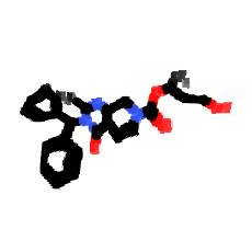 Cc1nc2c(c(=O)n1C(c1ccccc1)c1ccccc1)CCN(C(=O)OC(CCO)C(F)(F)F)C2